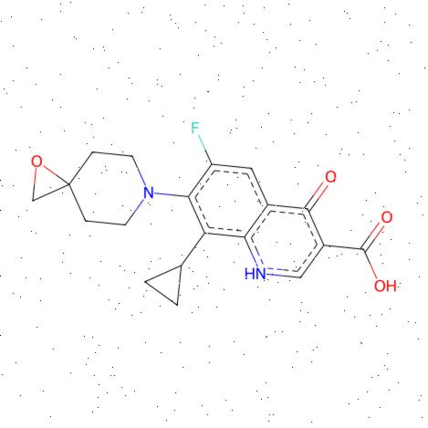 O=C(O)c1c[nH]c2c(C3CC3)c(N3CCC4(CC3)CO4)c(F)cc2c1=O